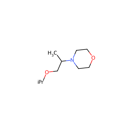 CC(C)OCC(C)N1CCOCC1